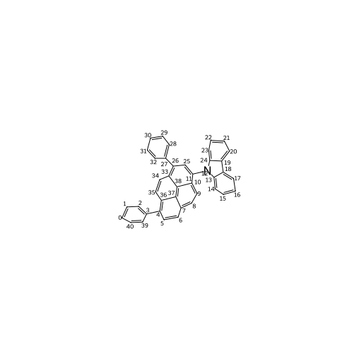 c1ccc(-c2ccc3ccc4c(-n5c6ccccc6c6ccccc65)cc(-c5ccccc5)c5ccc2c3c54)cc1